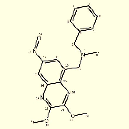 [CH2]N(Cc1ccccc1)Cc1cc(N=O)cc2nc(OC)c(OC)nc12